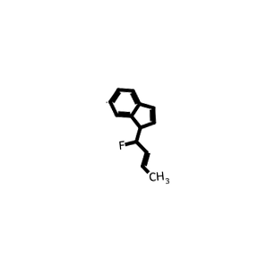 CC=CC(F)C1C=Cc2cc[c]cc21